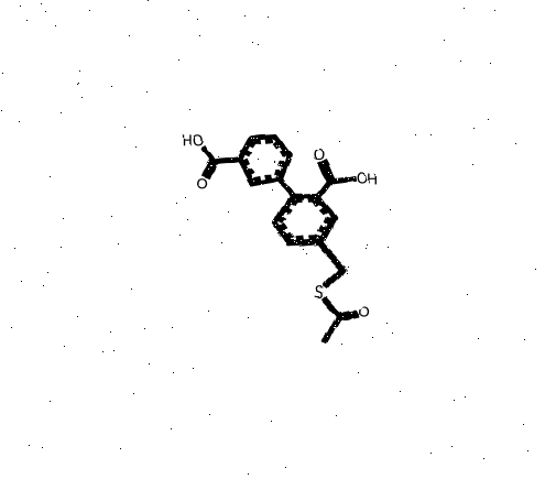 CC(=O)SCc1ccc(-c2cccc(C(=O)O)c2)c(C(=O)O)c1